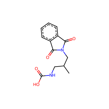 CC(CNC(=O)O)CN1C(=O)c2ccccc2C1=O